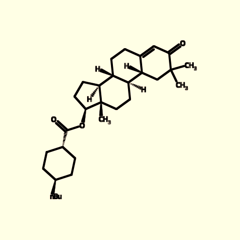 CCCC[C@H]1CC[C@H](C(=O)O[C@H]2CC[C@H]3[C@@H]4CCC5=CC(=O)C(C)(C)C[C@@H]5[C@H]4CC[C@]23C)CC1